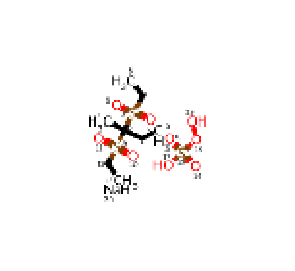 CCC(C)(S(=O)(=O)CC)S(=O)(=O)CC.O=S(=O)(O)OO.[NaH]